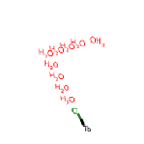 O.O.O.O.O.O.O.O.O.[Cl][Tb]